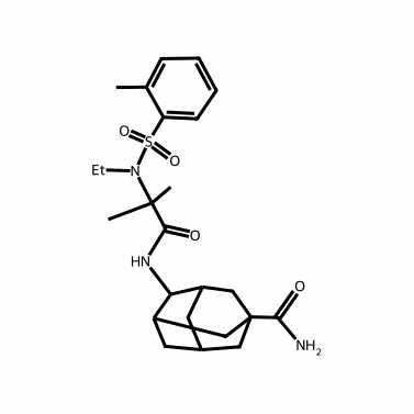 CCN(C(C)(C)C(=O)NC1C2CC3CC1CC(C(N)=O)(C3)C2)S(=O)(=O)c1ccccc1C